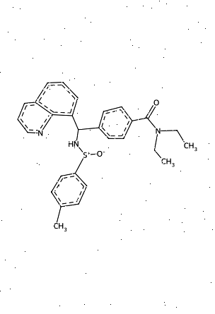 CCN(CC)C(=O)c1ccc(C(N[S+]([O-])c2ccc(C)cc2)c2cccc3cccnc23)cc1